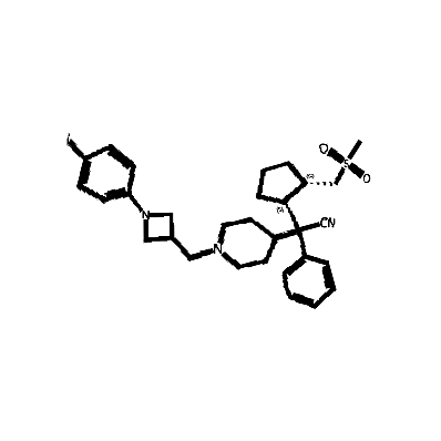 CS(=O)(=O)C[C@H]1CCC[C@@H]1C(C#N)(c1ccccc1)C1CCN(CC2CN(c3ccc(I)cc3)C2)CC1